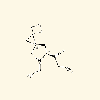 CCC(=O)[C@@H]1C[C@@]2(CN1CC)CC21CCC1